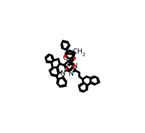 C=C1Cc2cccc(C3Cc4ccccc4-c4ccc5c6ccccc6n(-c6nc(CCC7Cc8ccccc8-c8ccccc87)nc(-c7ccccc7)n6)c5c43)c2OC1c1ccccc1